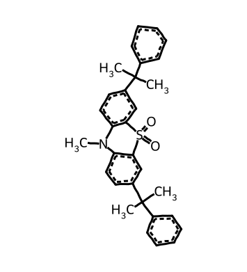 CN1c2ccc(C(C)(C)c3ccccc3)cc2S(=O)(=O)c2cc(C(C)(C)c3ccccc3)ccc21